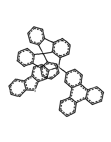 c1ccc2c(c1)-c1ccccc1C21c2ccccc2-c2cccc(N(c3ccc4c(c3)sc3ccccc34)c3ccc4c5ccccc5c5ccccc5c4c3)c21